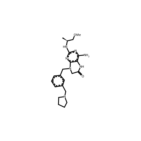 COC[C@H](C)Nc1nc(N)c2c(n1)N(Cc1cccc(CN3CCCC3)c1)CC(=O)N2